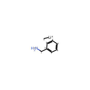 NCc1[c]cccc1.[Li][CH3]